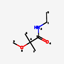 CCNC(=O)C(C)(C)OC